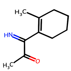 CC(=O)C(=N)C1=C(C)CCCC1